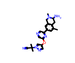 Cc1cc(-c2cncc(Oc3cnn(C(C)(C)C#N)c3)n2)cc2c1CC(N)N(C)C2